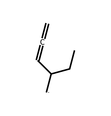 [CH2]C(C=C=C)CC